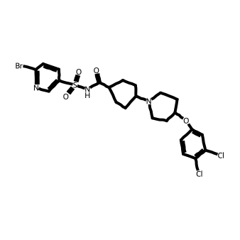 O=C(NS(=O)(=O)c1ccc(Br)nc1)C1CCC(N2CCC(Oc3ccc(Cl)c(Cl)c3)CC2)CC1